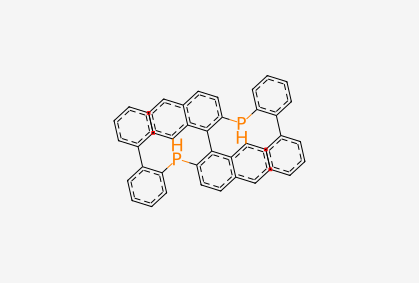 c1ccc(-c2ccccc2Pc2ccc3ccccc3c2-c2c(Pc3ccccc3-c3ccccc3)ccc3ccccc23)cc1